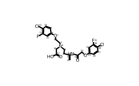 C=C(CCN(CCOc1ccc(Cl)c(F)c1)CC(=O)O)NC(=O)COc1ccc(Cl)c(F)c1